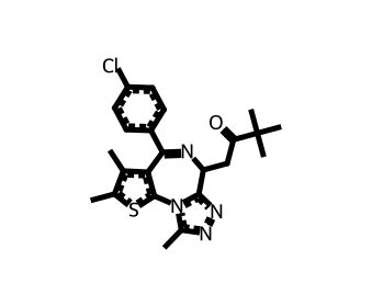 Cc1sc2c(c1C)C(c1ccc(Cl)cc1)=NC(CC(=O)C(C)(C)C)c1nnc(C)n1-2